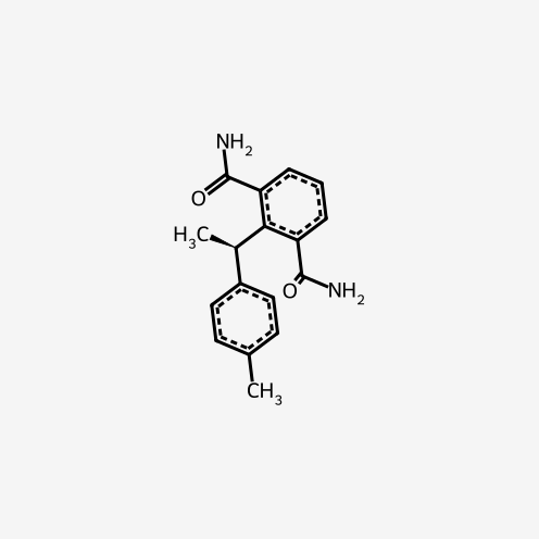 Cc1ccc([C@@H](C)c2c(C(N)=O)cccc2C(N)=O)cc1